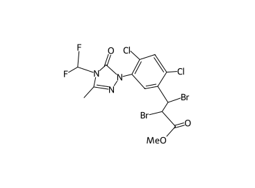 COC(=O)C(Br)C(Br)c1cc(-n2nc(C)n(C(F)F)c2=O)c(Cl)cc1Cl